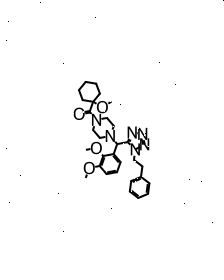 COc1cccc(C(c2nnnn2CCc2ccccc2)N2CCN(C(=O)C3(OC)CCCCC3)CC2)c1OC